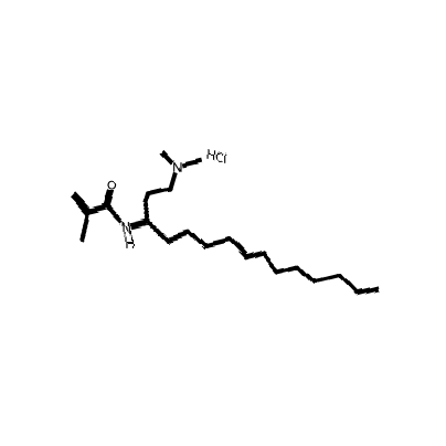 C=C(C)C(=O)NC(CCCCCCCCCCCC)CCN(C)C.Cl